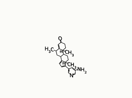 CC1CC2C3=CC=C(c4cncc(N)c4)[C@@]3(C)CCC2[C@@]2(C)CCC(=O)C=C12